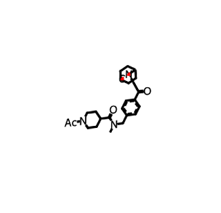 CC(=O)N1CCC(C(=O)N(C)Cc2ccc(C(=O)N3CC4CCC(CC4)C3)cc2)CC1